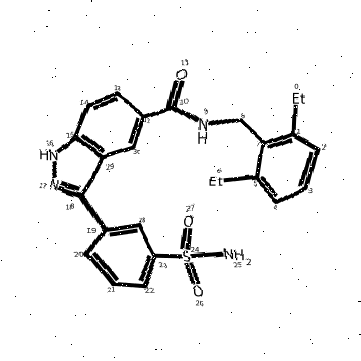 CCc1cccc(CC)c1CNC(=O)c1ccc2[nH]nc(-c3cccc(S(N)(=O)=O)c3)c2c1